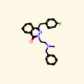 CN(CCn1nc(Cc2ccc(F)cc2)c2ccccc2c1=O)Cc1ccccc1